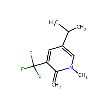 C=C1C(C(F)(F)F)=CC(C(C)C)=CN1C